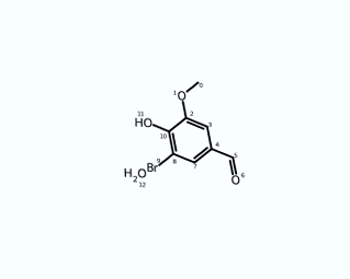 COc1cc(C=O)cc(Br)c1O.O